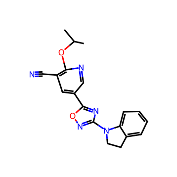 CC(C)Oc1ncc(-c2nc(N3CCc4ccccc43)no2)cc1C#N